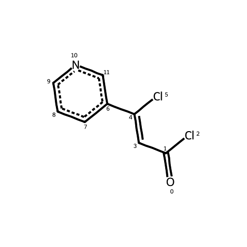 O=C(Cl)/C=C(\Cl)c1cccnc1